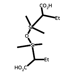 CCC(C(=O)O)[Si](C)(C)O[Si](C)(C)C(CC)C(=O)O